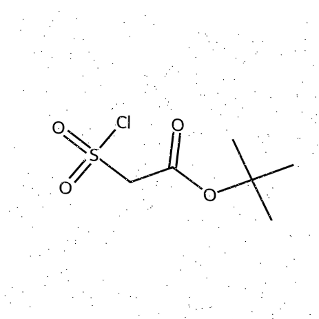 CC(C)(C)OC(=O)CS(=O)(=O)Cl